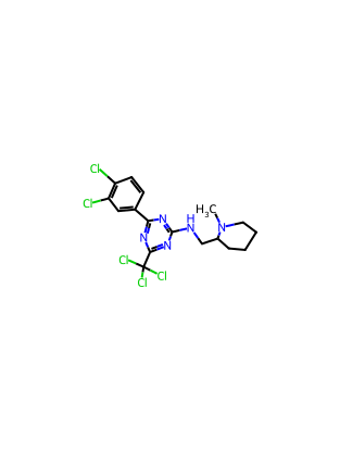 CN1CCCCC1CNc1nc(-c2ccc(Cl)c(Cl)c2)nc(C(Cl)(Cl)Cl)n1